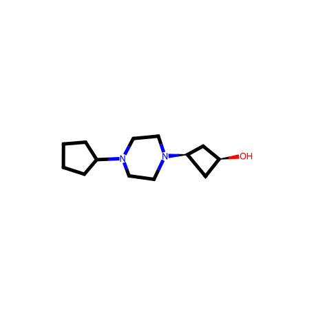 O[C@H]1C[C@@H](N2CCN(C3CCCC3)CC2)C1